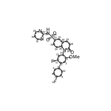 COc1cc(-c2ccc(F)cc2)c(F)cc1-n1c(=O)ccc2cc(S(=O)(=O)Nc3ncccn3)ccc21